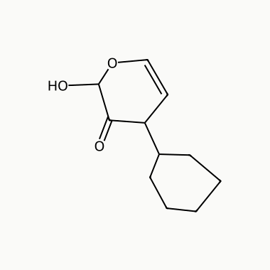 O=C1C(O)OC=CC1C1CCCCC1